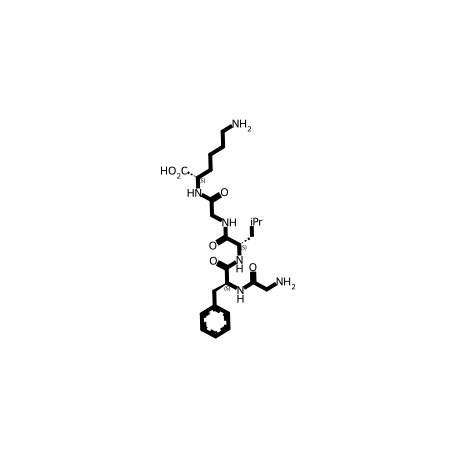 CC(C)C[C@H](NC(=O)[C@H](Cc1ccccc1)NC(=O)CN)C(=O)NCC(=O)N[C@@H](CCCCN)C(=O)O